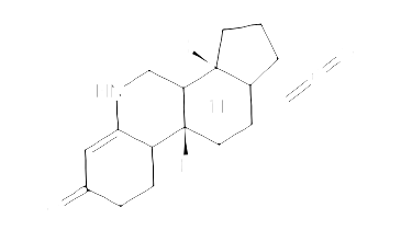 C[C@]12CCC(=O)C=C1NC[C@H]1[C@@H]3CCC[C@@]3(C=C=O)CC[C@@H]12